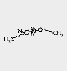 CCCCCCCc1ccc(-c2cnc(C3CCC(C#N)(CCCCCCC)CC3)nc2)cc1